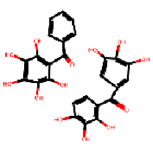 O=C(c1cc(O)c(O)c(O)c1)c1ccc(O)c(O)c1O.O=C(c1ccccc1)c1c(O)c(O)c(O)c(O)c1O